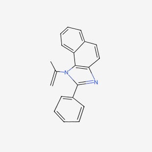 C=C(C)n1c(-c2ccccc2)nc2ccc3ccccc3c21